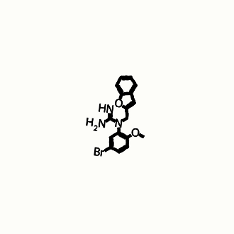 COc1ccc(Br)cc1N(Cc1cc2ccccc2o1)C(=N)N